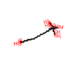 O=C(O)CCCCCCCCCCCCCCCCCCCCC(CC(O)CO)(CC(O)CO)CC(O)CO